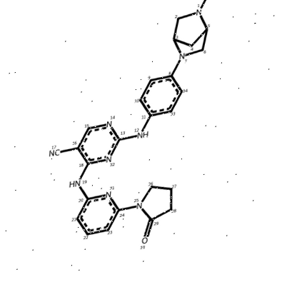 CN1CC2CC1CN2c1ccc(Nc2ncc(C#N)c(Nc3cccc(N4CCCC4=O)n3)n2)cc1